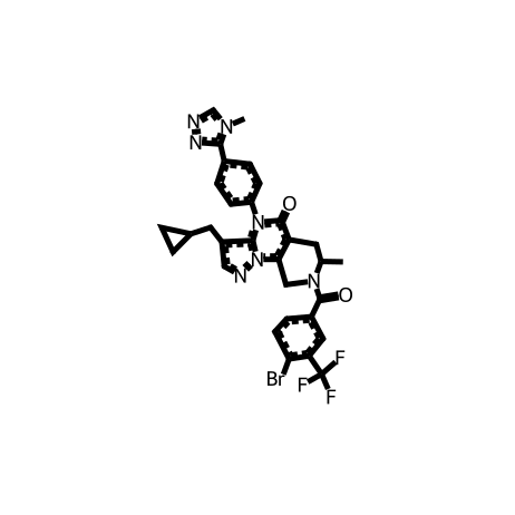 CC1Cc2c(n3ncc(CC4CC4)c3n(-c3ccc(-c4nncn4C)cc3)c2=O)CN1C(=O)c1ccc(Br)c(C(F)(F)F)c1